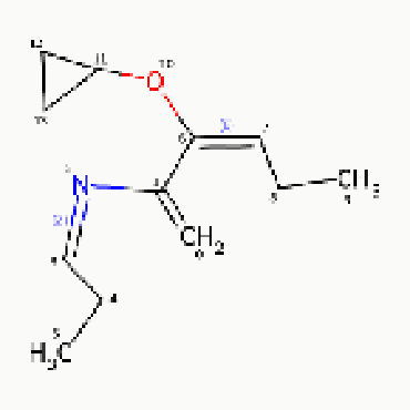 C=C(/N=C\CC)/C(=C\CC)OC1CC1